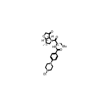 CCN1CCN(c2ccc(C(=O)N[C@@H](CC(C)(C)C)C(=O)N3C[C@H](C)[C@H]4OCC(=O)[C@H]43)cc2)CC1